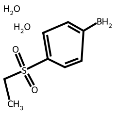 Bc1ccc(S(=O)(=O)CC)cc1.O.O